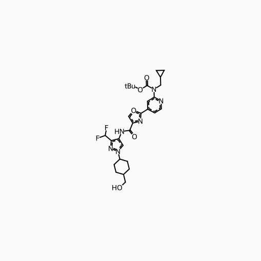 CC(C)(C)OC(=O)N(CC1CC1)c1cc(-c2nc(C(=O)Nc3cn(C4CCC(CO)CC4)nc3C(F)F)co2)ccn1